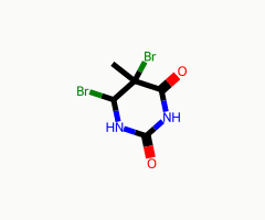 CC1(Br)C(=O)NC(=O)NC1Br